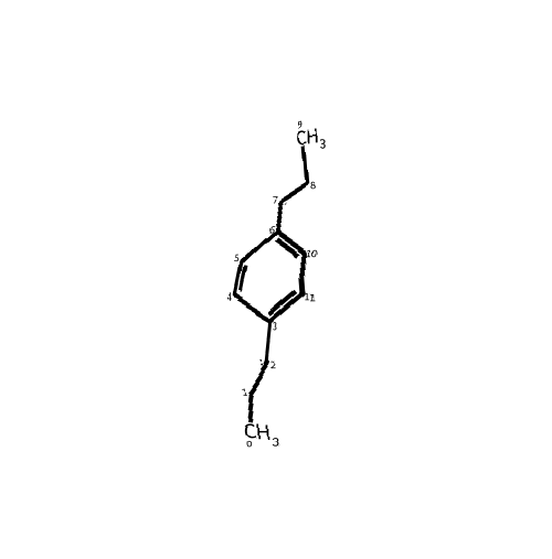 CC[C]c1ccc([C]CC)cc1